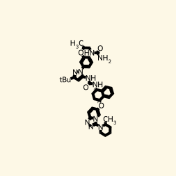 CC(CNC(N)=O)Oc1cccc(-n2nc(C(C)(C)C)cc2NC(=O)N[C@H]2CC[C@@H](Oc3ccc4nnc(N5CCCCC5C)n4c3)c3ccccc32)c1